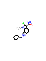 Cn1c(Cl)c(C(N)=O)c2ccc3nn(Cc4ccccc4)cc3c21